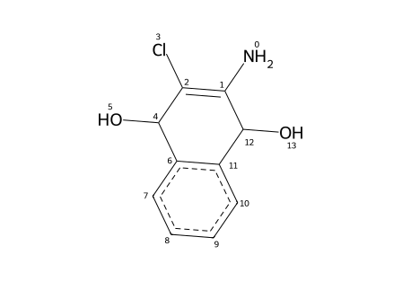 NC1=C(Cl)C(O)c2ccccc2C1O